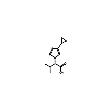 CC(C)C(C(=O)O)n1cc(C2CC2)nn1